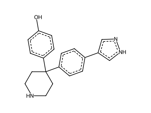 Oc1ccc(C2(c3ccc(-c4cn[nH]c4)cc3)CCNCC2)cc1